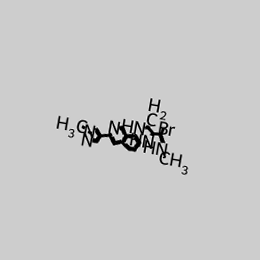 C=C(Nc1cccc2cc(-c3cnn(C)c3)ncc12)C(=N)/C(Br)=C\NC